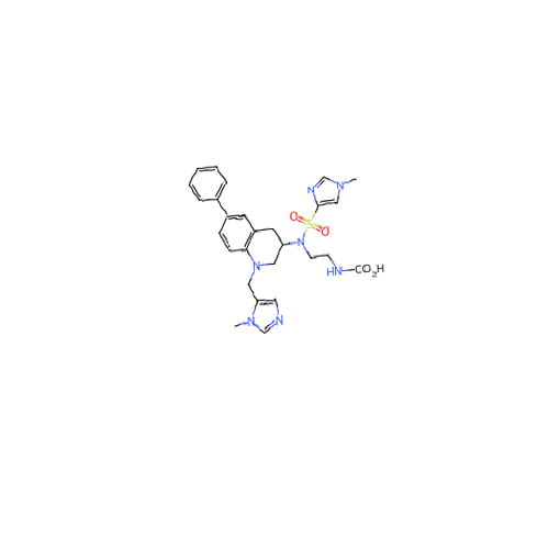 Cn1cnc(S(=O)(=O)N(CCNC(=O)O)C2Cc3cc(-c4ccccc4)ccc3N(Cc3cncn3C)C2)c1